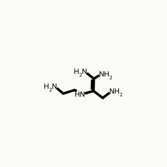 NCCNC(CN)=C(N)N